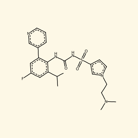 CC(C)c1cc(F)cc(-c2cccnc2)c1NC(=O)NS(=O)(=O)c1ccn(CCN(C)C)c1